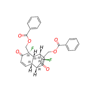 O=C(OC[C@]1(F)C(=O)C=C[C@@H]2[C@H]1[C@@H]1C=C[C@H]2C(=O)[C@@]1(F)COC(=O)c1ccccc1)c1ccccc1